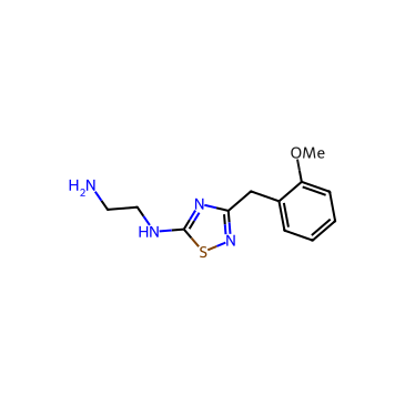 COc1ccccc1Cc1nsc(NCCN)n1